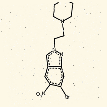 O=[N+]([O-])c1cc2cn(CCN3CCCCC3)nc2cc1Br